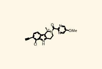 C#Cc1ccc2c3c([nH]c2c1Cl)CCN(C(=O)c1ncc(OC)cn1)[C@@H]3C